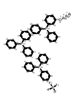 F[B-](F)(F)F.[Au].[Au].[Au].[O+].c1ccc(P(c2ccccc2)c2ccccc2)cc1.c1ccc(P(c2ccccc2)c2ccccc2)cc1.c1ccc(P(c2ccccc2)c2ccccc2)cc1